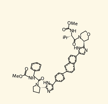 COC(=O)N[C@H](C(=O)N1CCOC[C@H]1c1ncc(-c2ccc3cc(-c4ccc(-c5cnc([C@@H]6CCCN6C(=O)[C@H](NC(=O)OC)c6ccccc6)[nH]5)cc4)ccc3c2)[nH]1)C(C)C